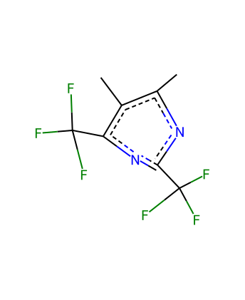 Cc1nc(C(F)(F)F)nc(C(F)(F)F)c1C